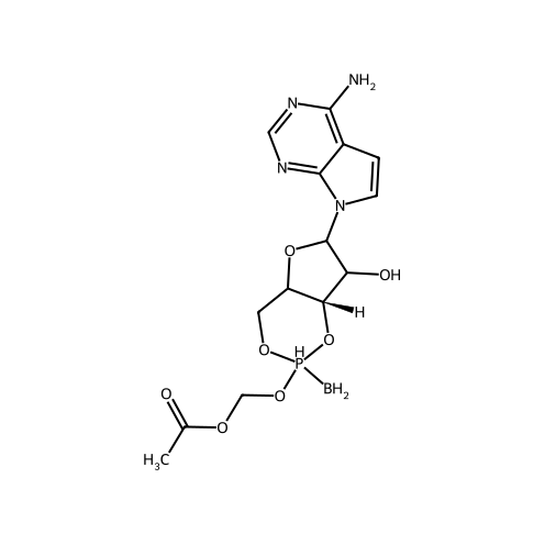 B[PH]1(OCOC(C)=O)OCC2OC(n3ccc4c(N)ncnc43)C(O)[C@@H]2O1